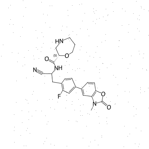 Cn1c(=O)oc2ccc(-c3ccc(CC(C#N)NC(=O)[C@@H]4CNCCCO4)c(F)c3)cc21